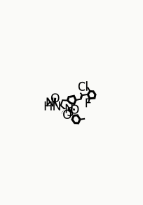 C/C(=C\c1ccc2c(c1)N(S(=O)(=O)c1cccc(C)c1)[C@H](C)[C@H](NC(=O)N(C)C)C2)c1c(F)cccc1Cl